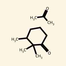 CC(C)=O.CC1CCCC(=O)C1(C)C